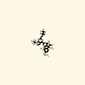 [2H]C([2H])([2H])n1ncc2c(-c3nc(N)c4c(n3)NC(=O)C4(C)c3ccc(OC)cc3)nc(CCC(F)(F)C(F)(F)F)nc21